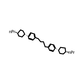 CCC[C@H]1CC[C@H](c2ccc(CCCCc3ccc([C@H]4CC[C@H](CCC)CC4)cc3)cc2)CC1